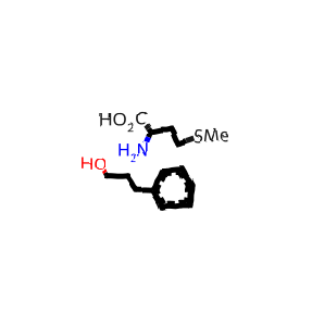 CSCCC(N)C(=O)O.OCCCc1ccccc1